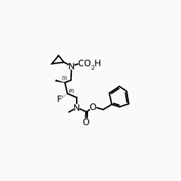 C[C@@H](CN(C(=O)O)C1CC1)[C@@H](F)CN(C)C(=O)OCc1ccccc1